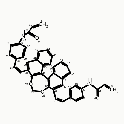 C=CC(=O)Nc1ccc(/C=C\c2cc3ccccc3c3c2OCOc2c(/C=C\c4ccc(NC(=O)C=C)cc4)cc4ccccc4c2-3)cc1